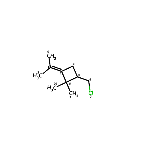 CC(C)=C1CC(CCl)C1(C)C